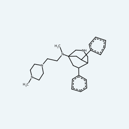 CN1CCN(CCN(C)C23CNCC(C(c4ccccc4)C2)C(c2ccccc2)C3)CC1